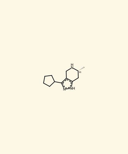 C[C@@H]1Cc2[nH]nc(C3CCCC3)c2CN1